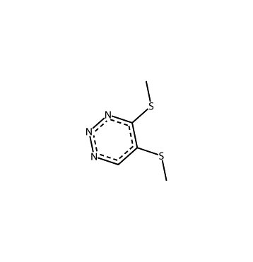 CSc1cnnnc1SC